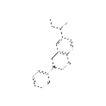 CCC(C)c1ccc2c(c1)CN(c1ccccc1)CO2